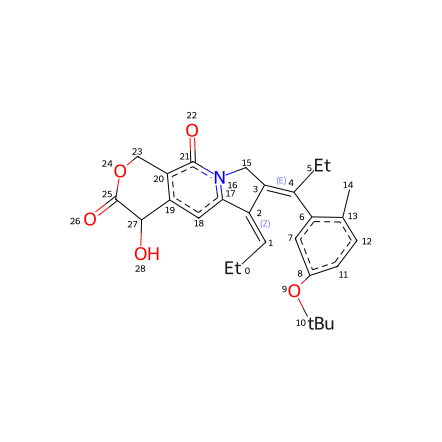 CC/C=C1/C(=C(/CC)c2cc(OC(C)(C)C)ccc2C)Cn2c1cc1c(c2=O)COC(=O)C1O